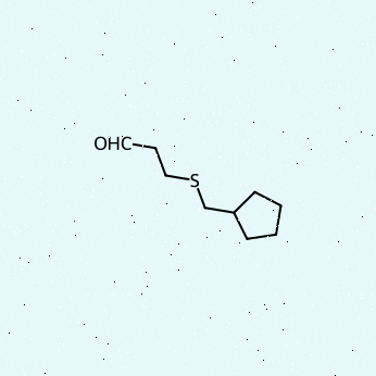 O=CCCSCC1CCCC1